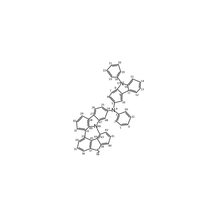 c1ccc(N(c2ccc3c(c2)c2ccccc2n3-c2ccccc2)c2ccc3c4cccc5c6cccc7sc8cccc(c8c76)n(c3c2)c54)cc1